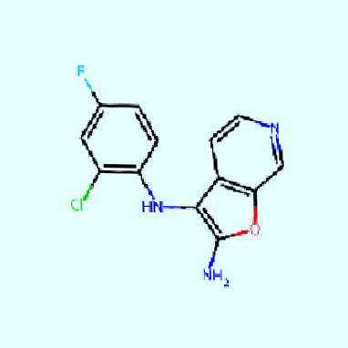 Nc1oc2cnccc2c1Nc1ccc(F)cc1Cl